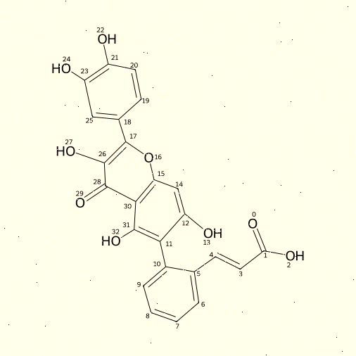 O=C(O)C=Cc1ccccc1-c1c(O)cc2oc(-c3ccc(O)c(O)c3)c(O)c(=O)c2c1O